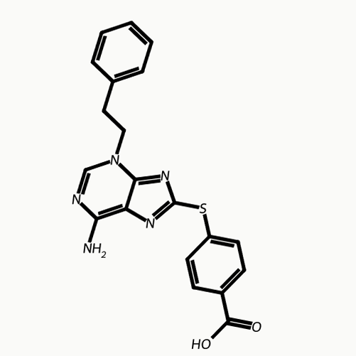 Nc1ncn(CCc2ccccc2)c2nc(Sc3ccc(C(=O)O)cc3)nc1-2